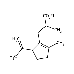 C=C(C)C1CCC(C)=C1CC(C)C(=O)OCC